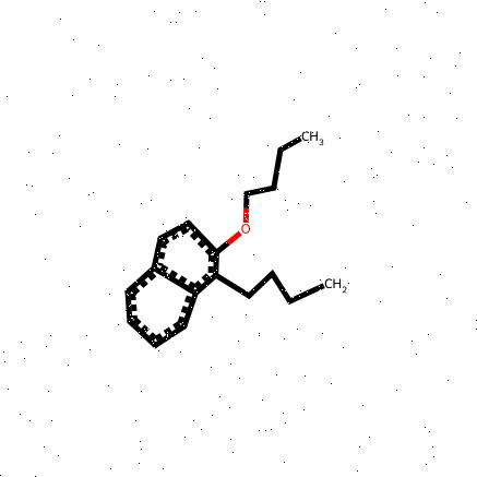 [CH2]CC[CH]c1c(OCCCC)ccc2ccccc12